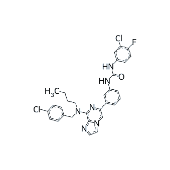 CCCCN(Cc1ccc(Cl)cc1)c1nc(-c2cccc(NC(=O)Nc3ccc(F)c(Cl)c3)c2)cn2ccnc12